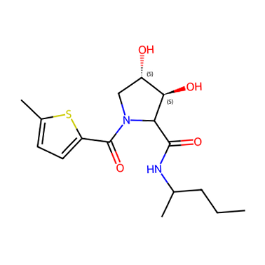 CCCC(C)NC(=O)C1[C@H](O)[C@@H](O)CN1C(=O)c1ccc(C)s1